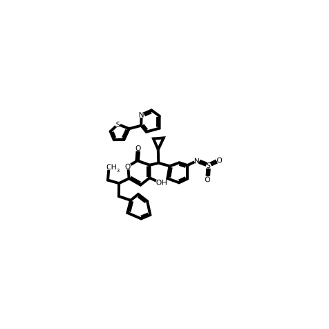 CCC(Cc1ccccc1)c1cc(O)c(C(c2cccc(N=S(=O)=O)c2)C2CC2)c(=O)o1.c1ccc(-c2cccs2)nc1